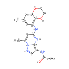 CNC(=O)Nc1cnn2c(NC)cc(Nc3cc(C(F)(F)F)cc4c3OCCO4)nc12